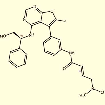 CN(C)C/C=C/C(=O)Nc1cccc(-c2c(I)oc3ncnc(N[C@H](CO)c4ccccc4)c23)c1